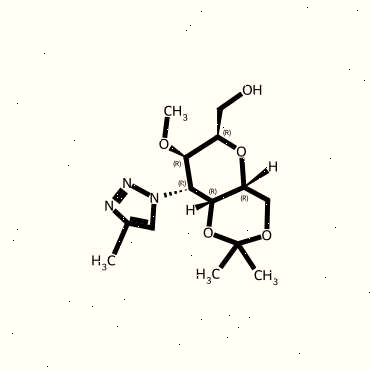 CO[C@@H]1[C@@H](n2cc(C)nn2)[C@H]2OC(C)(C)OC[C@H]2O[C@@H]1CO